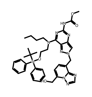 CCCCN(CCO[Si](c1ccccc1)(c1ccccc1)C(C)(C)C)c1nc(NC(=O)OC)nc2cn(Cc3ccc(CO)n4ncnc34)nc12